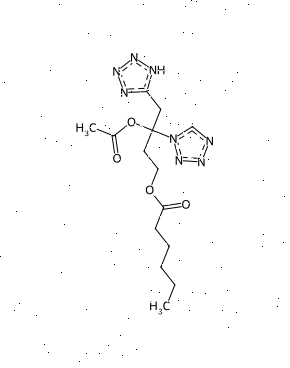 CCCCCC(=O)OCCC(Cc1nnn[nH]1)(OC(C)=O)n1[c]nnn1